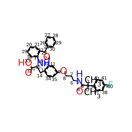 CC(C)(C(=O)NCCCOc1ccc(CC(Nc2ccccc2C(=O)c2ccccc2)C(=O)O)cc1)c1ccc(F)cc1